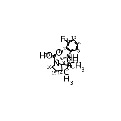 CC(C)(C)[C@@]1(CNc2cccc(F)c2)CCCN1C(=O)O